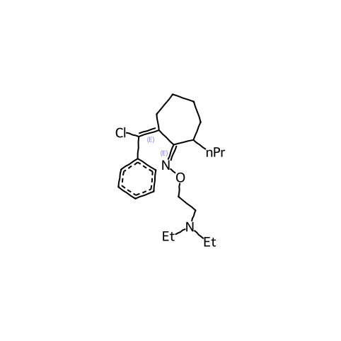 CCCC1CCCCC(=C(\Cl)c2ccccc2)/C1=N/OCCN(CC)CC